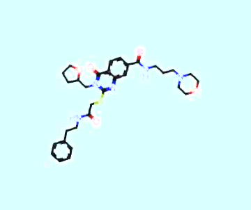 O=C(CSc1nc2cc(C(=O)NCCCN3CCOCC3)ccc2c(=O)n1CC1CCCO1)NCCc1ccccc1